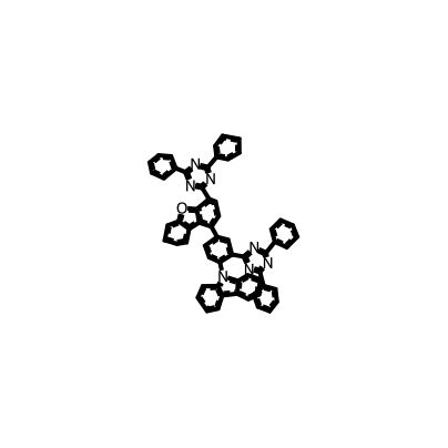 c1ccc(-c2nc(-c3ccccc3)nc(-c3cc(-c4ccc(-c5nc(-c6ccccc6)nc(-c6ccccc6)n5)c5oc6ccccc6c45)ccc3-n3c4ccccc4c4ccccc43)n2)cc1